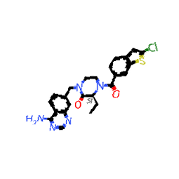 CC[C@H]1C(=O)N(Cc2ccc3c(N)ncnc3c2)CCN1C(=O)c1ccc2cc(Cl)sc2c1